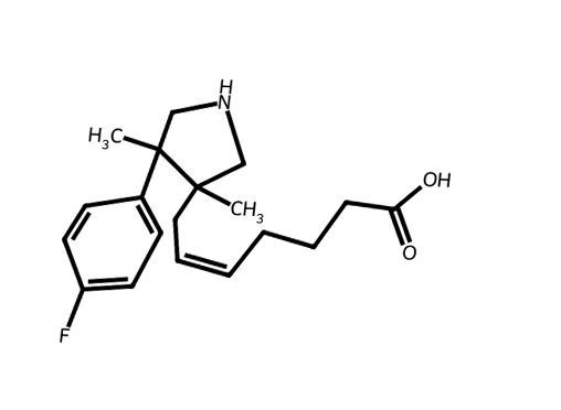 CC1(C/C=C\CCCC(=O)O)CNCC1(C)c1ccc(F)cc1